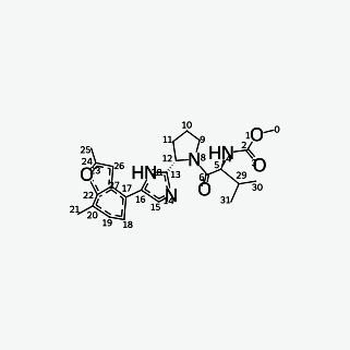 COC(=O)N[C@H](C(=O)N1CCC[C@H]1c1ncc(-c2ccc(C)c3oc(C)cc23)[nH]1)C(C)C